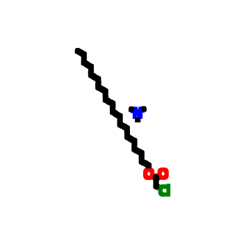 CCCCCCCCCCCCCCCCCCCCOC(=O)CCl.CN(C)C